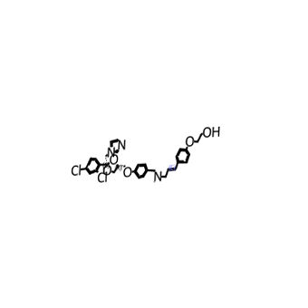 CN(C/C=C/c1ccc(OCCO)cc1)Cc1ccc(OC[C@@H]2CO[C@@](Cn3ccnc3)(c3ccc(Cl)cc3Cl)O2)cc1